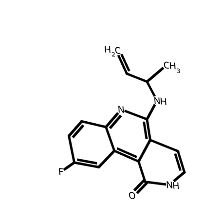 C=CC(C)Nc1nc2ccc(F)cc2c2c(=O)[nH]ccc12